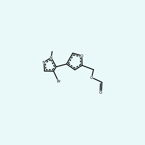 Cn1ncc(Br)c1-c1coc(COC=O)c1